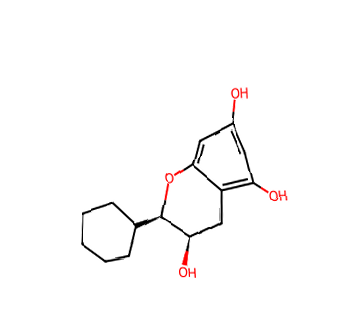 Oc1cc(O)c2c(c1)O[C@H](C1CCCCC1)[C@H](O)C2